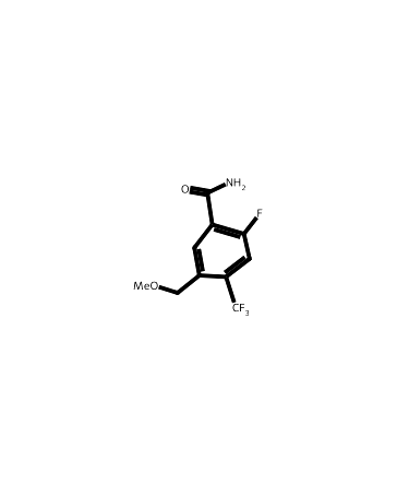 COCc1cc(C(N)=O)c(F)cc1C(F)(F)F